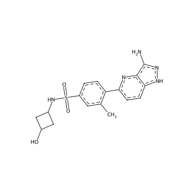 Cc1cc(S(=O)(=O)NC2CC(O)C2)ccc1-c1ccc2[nH]nc(N)c2n1